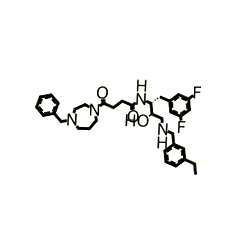 CCc1cccc(CNC[C@H](O)[C@@H](Cc2cc(F)cc(F)c2)NC(=O)CCC(=O)N2CCCN(Cc3ccccc3)CC2)c1